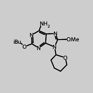 CCC(C)Oc1nc(N)c2nc(OC)n(C3CCCCO3)c2n1